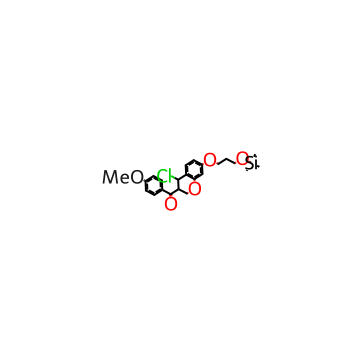 COc1ccc(C(=O)C2COc3cc(OCCCO[Si](C)(C)C)ccc3C2Cl)cc1